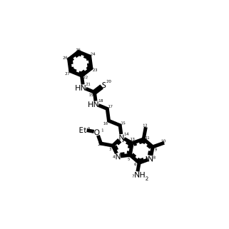 CCOCc1nc2c(N)nc(C)c(C)c2n1CCCNC(=S)Nc1ccccc1